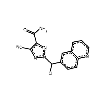 N#Cc1nn(C(Cl)c2ccc3ncccc3c2)nc1C(N)=O